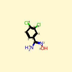 NC(=NO)c1ccc(Cl)c(Cl)c1